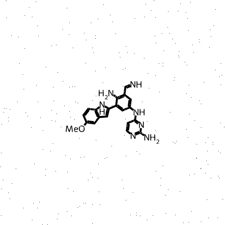 COc1ccc2[nH]c(-c3cc(Nc4ccnc(N)n4)cc(C=N)c3N)cc2c1